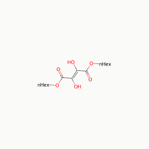 CCCCCCOC(=O)/C(O)=C(\O)C(=O)OCCCCCC